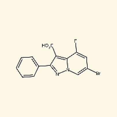 O=C(O)c1c(-c2ccccc2)nn2cc(Br)cc(F)c12